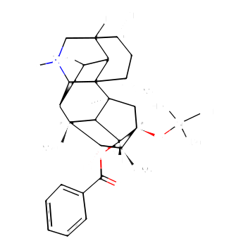 CCN1CC2(CC)C3C(OC)C4C1C3([C@@H](OC)C[C@H]2C)[C@H]1C[C@@]2(O[Si](C)(C)C(C)(C)C)[C@H](OC(=O)c3ccccc3)C1[C@]4(OC)[C@@H](O)[C@@H]2OC